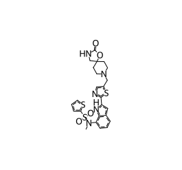 CN(c1cccc2cc(-c3ncc(CN4CCC5(CC4)CNC(=O)O5)s3)[nH]c12)S(=O)(=O)c1cccs1